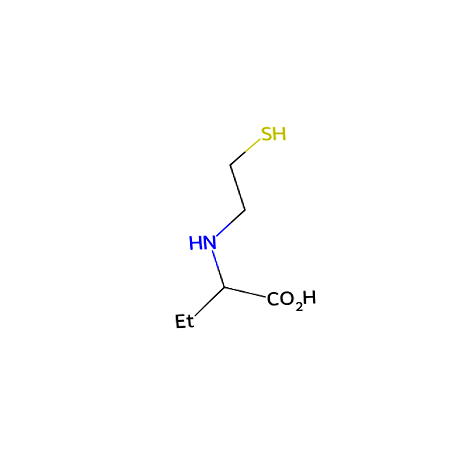 CCC(NCCS)C(=O)O